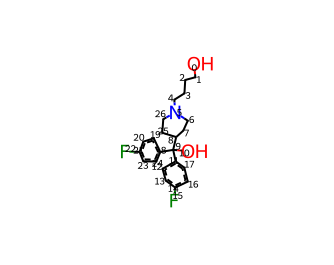 OCCCCN1CCC(C(O)(c2ccc(F)cc2)c2ccc(F)cc2)CC1